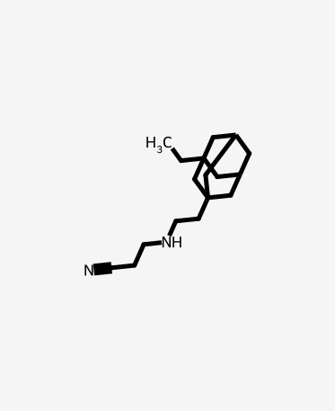 CCC12CC3CC(C1)CC(CCNCCC#N)(C3)C2